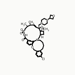 CO[C@@]1(CN2CCN(C3COC3)CC2)/C=C/[C@H](C)[C@H](C)CS(=O)(=O)NC(=O)c2ccc3c(c2)N(CCCCc2cc(Cl)ccc2CO3)C[C@@H]2CC[C@H]21